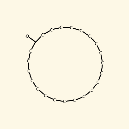 [O]C1CCCCCCCCCCCCCCCCCCCCCC1